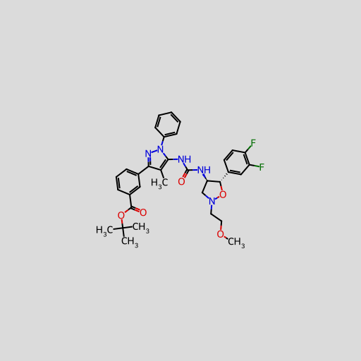 COCCN1C[C@@H](NC(=O)Nc2c(C)c(-c3cccc(C(=O)OC(C)(C)C)c3)nn2-c2ccccc2)[C@H](c2ccc(F)c(F)c2)O1